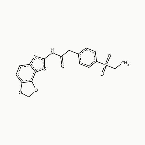 CCS(=O)(=O)c1ccc(CC(=O)Nc2nc3ccc4c(c3s2)OCO4)cc1